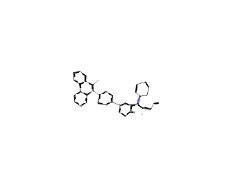 C=C/C=c1/oc2ccc(-c3ccc(-c4c(C)c5ccccc5c5ccccc45)cc3)cc2/c1=C1\C=CC=CC1